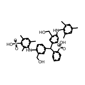 Cc1cc(C)c(Nc2ccc(C(c3ccc(Nc4c(C)cc(C)c(S(=O)(=O)O)c4C)c(CO)c3)c3ccccc3S(=O)(=O)O)cc2CO)c(C)c1